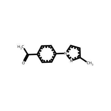 CC(=O)c1ccc(-n2ccc(C)n2)cc1